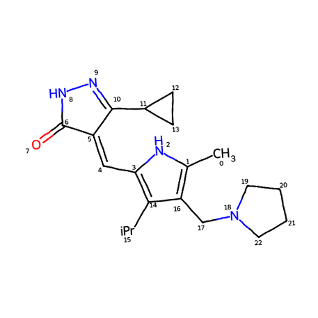 Cc1[nH]c(/C=C2/C(=O)NN=C2C2CC2)c(C(C)C)c1CN1CCCC1